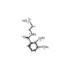 CC(=O)Oc1cccc(C(=O)NCCC(=O)O)c1OC(C)=O